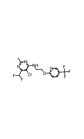 Cc1nc(NCCOc2ccc(C(F)(F)F)cn2)c(Cl)c(C(F)F)n1